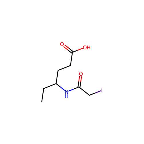 CCC(CCC(=O)O)NC(=O)CI